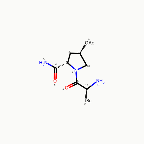 CC(=O)O[C@@H]1C[C@@H](C(N)=O)N(C(=O)[C@@H](N)C(C)(C)C)C1